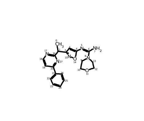 CC(c1cc(/N=C(/N)N2CCOCC2)on1)c1nccc(-c2ccccc2)n1